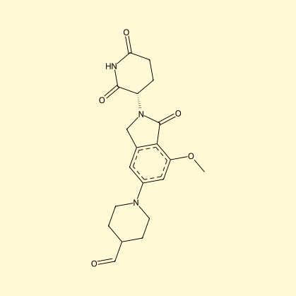 COc1cc(N2CCC(C=O)CC2)cc2c1C(=O)N([C@H]1CCC(=O)NC1=O)C2